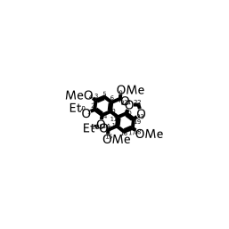 CCOc1c(OC)cc(C(=O)OC)c(-c2c(C(=O)OC)cc(OC)c3c2OCO3)c1OCC